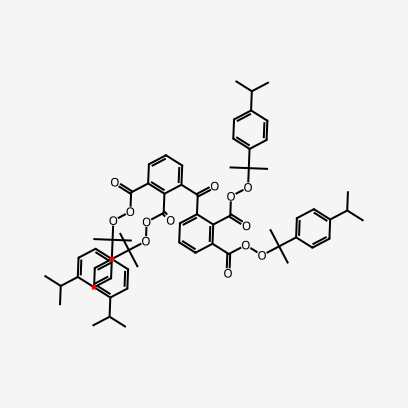 CC(C)c1ccc(C(C)(C)OOC(=O)c2cccc(C(=O)c3cccc(C(=O)OOC(C)(C)c4ccc(C(C)C)cc4)c3C(=O)OOC(C)(C)c3ccc(C(C)C)cc3)c2C(=O)OOC(C)(C)c2ccc(C(C)C)cc2)cc1